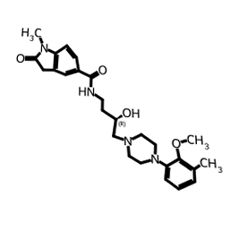 COc1c(C)cccc1N1CCN(C[C@H](O)CCNC(=O)c2ccc3c(c2)CC(=O)N3C)CC1